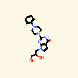 O=c1[nH]c(N2CCN(c3c(F)cccc3F)CC2)nc2c1ccn2CC(O)CO